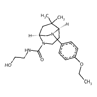 CCOc1ccc(N2C[C@@H]3CC(C)(C)[C@H]2CCN3C(=O)NCCO)cc1